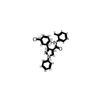 Cc1ccccc1NC(=O)c1cn(-c2ccccc2)nc1-c1cccc(Cl)c1